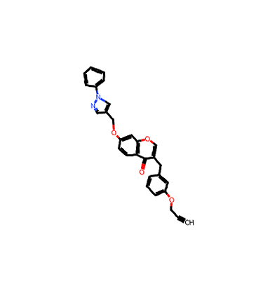 C#CCOc1cccc(Cc2coc3cc(OCc4cnn(-c5ccccc5)c4)ccc3c2=O)c1